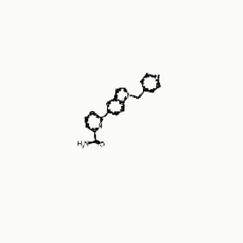 NC(=O)c1cccc(-c2ccc3c(ccn3Cc3ccncc3)c2)n1